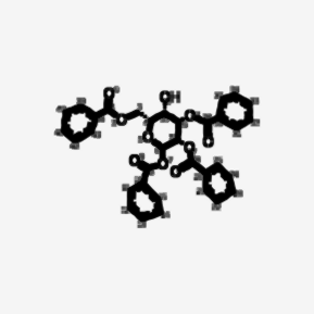 O=C(OC[C@H]1OC(OC(=O)c2ccccc2)[C@@H](OC(=O)c2ccccc2)[C@@H](OC(=O)c2ccccc2)[C@H]1O)c1ccccc1